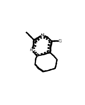 Cc1nc(Cl)c2c(n1)CCCC2